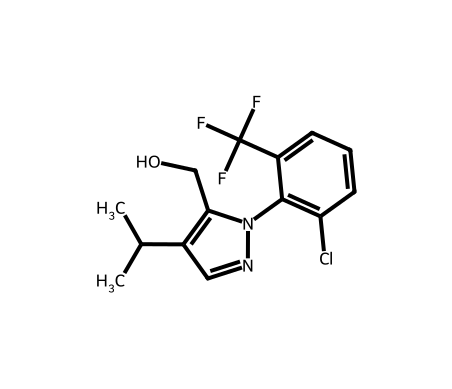 CC(C)c1cnn(-c2c(Cl)cccc2C(F)(F)F)c1CO